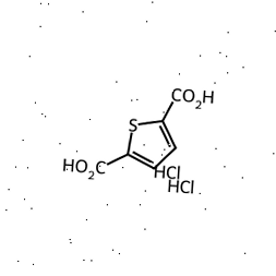 Cl.Cl.O=C(O)c1ccc(C(=O)O)s1